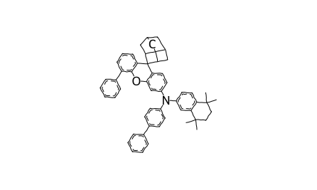 CC1(C)CCC(C)(C)c2cc(N(c3ccc(-c4ccccc4)cc3)c3ccc4c(c3)Oc3c(-c5ccccc5)cccc3C43C4CC5CC6CC3C64C5)ccc21